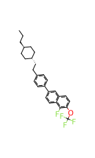 CCC[C@H]1CC[C@H](CCc2ccc(-c3ccc4c(F)c(OC(F)(F)F)ccc4c3)cc2)CC1